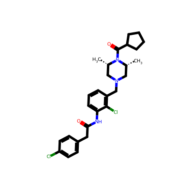 C[C@@H]1CN(Cc2cccc(NC(=O)Cc3ccc(Cl)cc3)c2Cl)C[C@H](C)N1C(=O)C1CCCC1